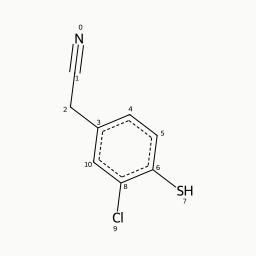 N#CCc1ccc(S)c(Cl)c1